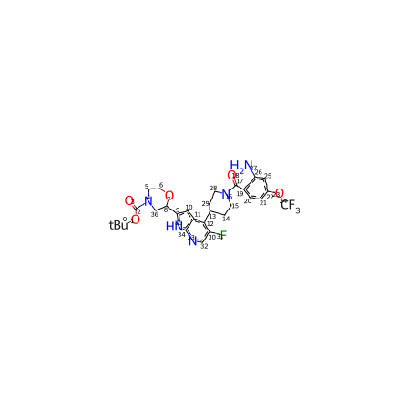 CC(C)(C)OC(=O)N1CCOC(c2cc3c(C4CCN(C(=O)c5ccc(OC(F)(F)F)cc5N)CC4)c(F)cnc3[nH]2)C1